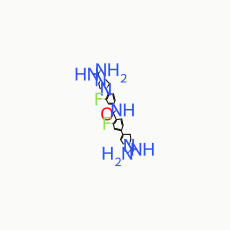 N=C(N)N1CC=C(c2ccc(C(=O)Nc3ccc(N4CCN(C(=N)N)CC4)c(F)c3)c(F)c2)CC1